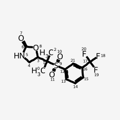 CC(C)(C1CNC(=O)O1)S(=O)(=O)c1cccc(C(F)(F)F)c1